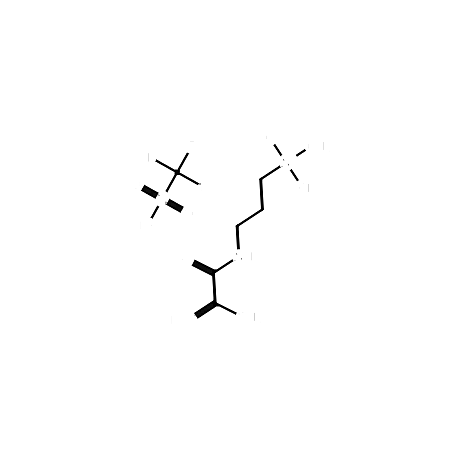 C=C(C)C(=O)NCCC[N+](C)(C)C.O=S(=O)(O)C(F)(F)F